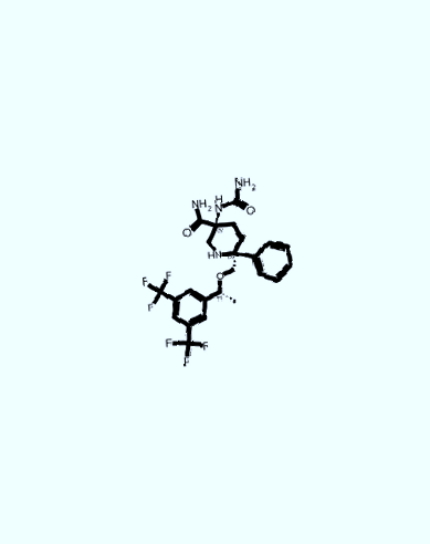 C[C@@H](OC[C@@]1(c2ccccc2)CC[C@@](NC(N)=O)(C(N)=O)CN1)c1cc(C(F)(F)F)cc(C(F)(F)F)c1